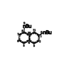 CCCCc1ccc2cccc(CCCC)c2c1